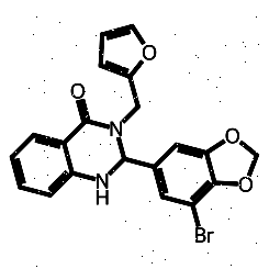 O=C1c2ccccc2NC(c2cc(Br)c3c(c2)OCO3)N1Cc1ccco1